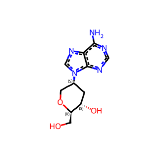 Nc1ncnc2c1ncn2[C@@H]1CO[C@H](CO)[C@@H](O)C1